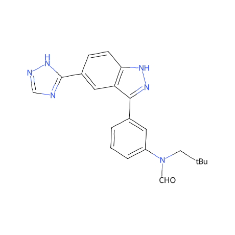 CC(C)(C)CN(C=O)c1cccc(-c2n[nH]c3ccc(-c4ncn[nH]4)cc23)c1